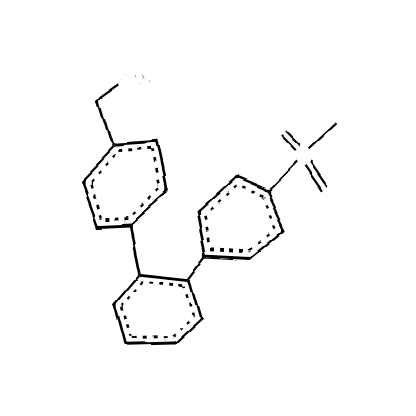 COCc1ccc(-c2ccccc2-c2ccc(S(C)(=O)=O)cc2)cc1